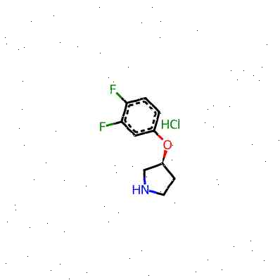 Cl.Fc1ccc(O[C@H]2CCNC2)cc1F